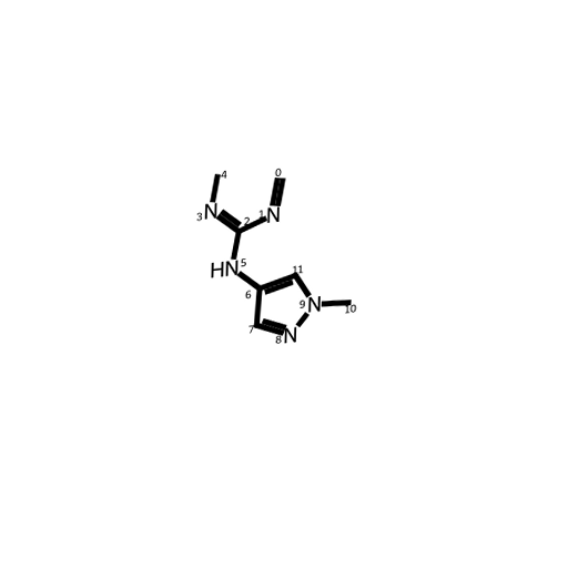 C=N/C(=N\C)Nc1cnn(C)c1